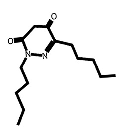 CCCCCC1=NN(CCCCC)C(=O)CC1=O